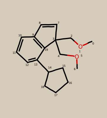 COCC1(COC)C=Cc2cccc(C3CCCC3)c21